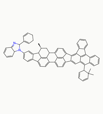 C[C@H]1CC2c3c(ccc4c3C1c1cc(N3C5C=CC=CC5=NC3C3=CCCC=C3)ccc1-4)-c1ccc3c4cc5c(C6C=CC=CC6(C)C)c6ccccc6c6c7ccccc7c(c4c4ccc2c1c34)c56